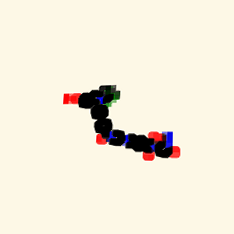 C[C@@H]1Cc2cc(O)ccc2[C@@H](c2ccc(C3CCC(C(=O)N4CCC(N5Cc6cc7c(cc6C5)C(=O)N(C5CCC(=O)NC5=O)C7=O)CC4)CC3)cc2F)N1CC(F)F